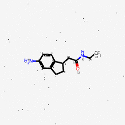 Nc1ccc2c(c1)CCC2CC(=O)NCC(F)(F)F